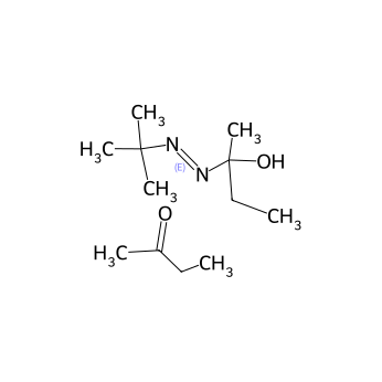 CCC(C)(O)/N=N/C(C)(C)C.CCC(C)=O